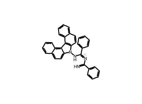 N=C(/N=C(\Nn1c2ccc3ccccc3c2c2c3ccccc3ccc21)c1ccccc1)c1ccccc1